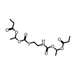 CCC(=O)OC(C)OC(=O)NCCSC(=O)OC(C)OC(=O)CC